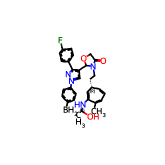 Bc1ccc(-n2cc(C3OCC(=O)N3CC[C@@H]3C=CC=C(C)C(N[C@H](C)O)=C3)c(-c3ccc(F)cc3)n2)cc1